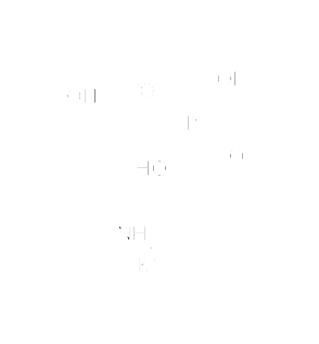 NCCO.O=P([O-])(O)O.[K+]